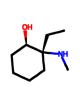 CC[C@@]1(NC)CCCC[C@H]1O